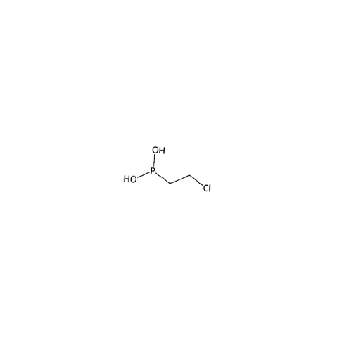 OP(O)CCCl